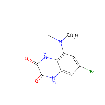 CN(C(=O)O)c1cc(Br)cc2[nH]c(=O)c(=O)[nH]c12